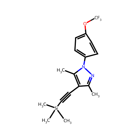 Cc1nn(-c2ccc(OC(F)(F)F)cc2)c(C)c1C#C[Si](C)(C)C